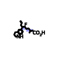 C=CC/C(=C(F)/C=C/C(C)=C/C(=O)O)c1ccc2c(c1)CCCN2